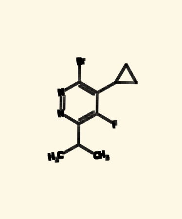 CC(C)c1nnc(Br)c(C2CC2)c1F